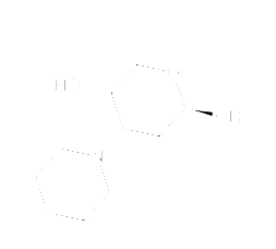 C[C@@H]1O[C@@H](O)C[C@H](N2CCOCC2)[C@@H]1O